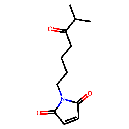 CC(C)C(=O)CCCCN1C(=O)C=CC1=O